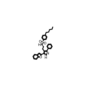 CCCCCc1ccc(S(=O)(=O)NCCc2c(-c3ccccc3)n[nH]c2-c2cc3ccccc3o2)cc1